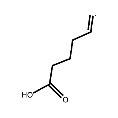 [CH]=CCCCC(=O)O